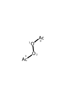 [Ac][O][O][Ac]